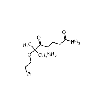 CC(C)CCOC(C)(C)C(=O)[C@@H](N)CCC(N)=O